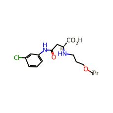 CC(C)OCCCN[C@@H](CC(=O)Nc1cccc(Cl)c1)C(=O)O